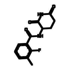 Cc1cccc(C(=O)NC2CCC(=O)NC2=O)c1F